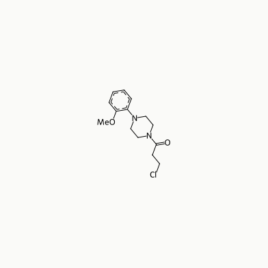 COc1ccccc1N1CCN(C(=O)CCCl)CC1